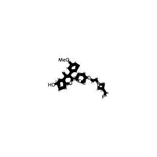 COc1cccc(C2=C(C)c3cc(O)ccc3O[C@@H]2c2ccc(OCCN3CC(CF)C3)cc2)c1